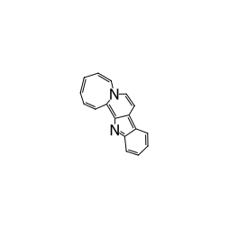 C1=CC=Cn2ccc3c4ccccc4nc-3c2C=C1